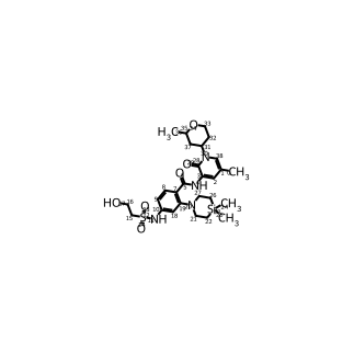 Cc1cc(NC(=O)c2ccc(NS(=O)(=O)CCO)cc2N2CC[Si](C)(C)CC2)c(=O)n(C2CCOC(C)C2)c1